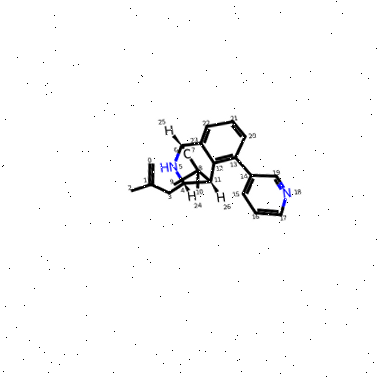 C=C(C)C[C@@H]1N[C@H]2CC(C)(C)[C@@H]1c1c(-c3cccnc3)cccc12